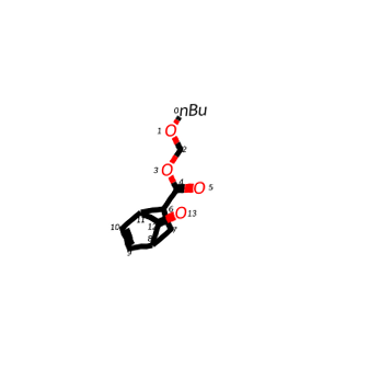 CCCCOCOC(=O)C1CC2C=CC1C2=O